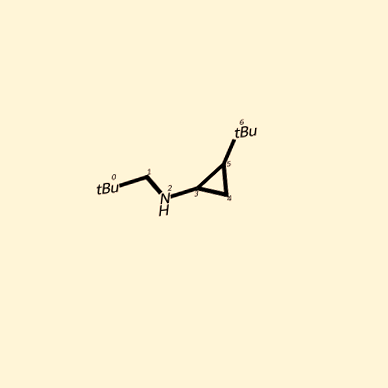 CC(C)(C)CNC1CC1C(C)(C)C